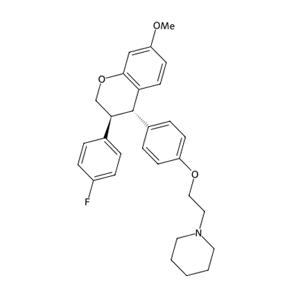 COc1ccc2c(c1)OC[C@H](c1ccc(F)cc1)[C@H]2c1ccc(OCCN2CCCCC2)cc1